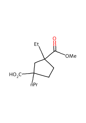 CCCC1(C(=O)O)CCC(CC)(C(=O)OC)C1